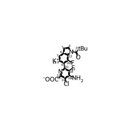 CC(C)(C)C(=O)n1ccc2ccc(-c3nc(C(=O)[O-])c(Cl)c(N)c3F)c(F)c21.[K+]